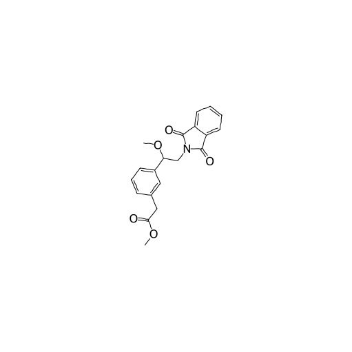 COC(=O)Cc1cccc(C(CN2C(=O)c3ccccc3C2=O)OC)c1